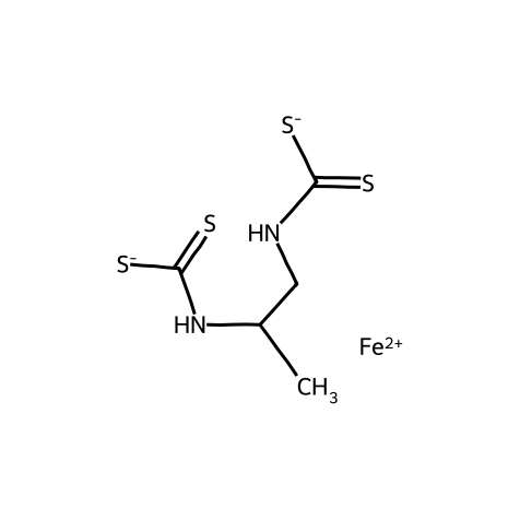 CC(CNC(=S)[S-])NC(=S)[S-].[Fe+2]